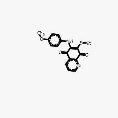 CCSC1=C(Nc2ccc(OC(F)(F)F)cc2)C(=O)c2cccnc2C1=O